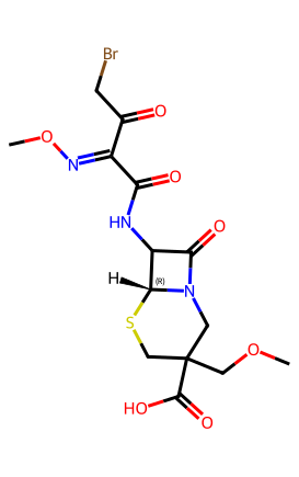 COCC1(C(=O)O)CS[C@@H]2C(NC(=O)C(=NOC)C(=O)CBr)C(=O)N2C1